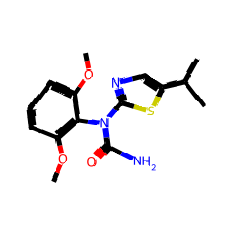 COc1cccc(OC)c1N(C(N)=O)c1ncc(C(C)C)s1